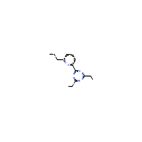 CCCc1cccc(-c2nc(CC)nc(CC)n2)n1